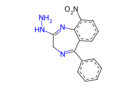 NNC1=Nc2c(cccc2[N+](=O)[O-])C(c2ccccc2)=NC1